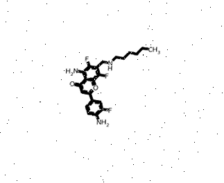 CCCCCCNCc1c(F)c(N)c2c(=O)cc(-c3ccc(N)c(F)c3)oc2c1F